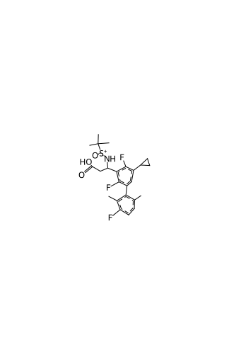 Cc1ccc(F)c(C)c1-c1cc(C2CC2)c(F)c(C(CC(=O)O)N[S@+]([O-])C(C)(C)C)c1F